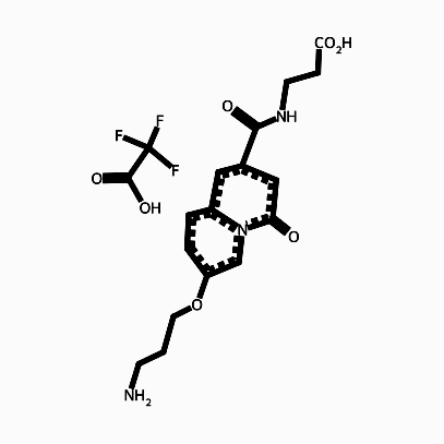 NCCCOc1ccc2cc(C(=O)NCCC(=O)O)cc(=O)n2c1.O=C(O)C(F)(F)F